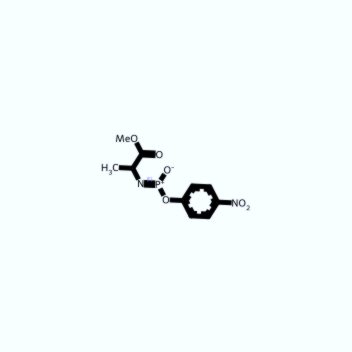 COC(=O)C(C)/N=[P+](\[O-])Oc1ccc([N+](=O)[O-])cc1